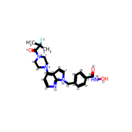 CC(C)(F)C(=O)N1CCN(c2ccnc3c2ccn3Cc2ccc(C(=O)NO)cc2)CC1